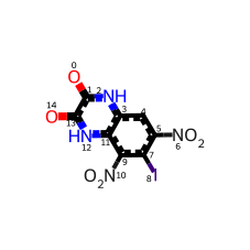 O=c1[nH]c2cc([N+](=O)[O-])c(I)c([N+](=O)[O-])c2[nH]c1=O